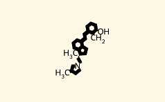 C=C1/C(=C\C=C2/CCCC3(C)C2CC[C@@H]3CCN2CCC(C)C2)CCC[C@@H]1O